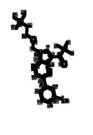 CC(C)(C)C(=O)c1cn(COCC[Si](C)(C)C)c2ncc(-c3cccc(I)c3)nc12